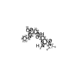 CCCN(CCC)C(=O)C1=Cc2ccc(C(=O)Nc3cccc(C4CN(Cc5ccccc5)C[C@@H]4C(=O)OC)c3)cc2N=C(N)C1